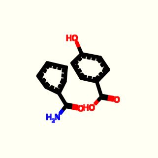 NC(=O)c1ccccc1.O=C(O)c1ccc(O)cc1